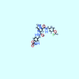 CC(F)Oc1ccc(CNC(=O)c2cc(C(=O)NCc3ccc4oc(=O)[nH]c4c3)nc3ccnn23)cc1